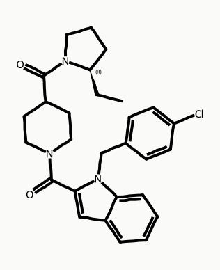 CC[C@@H]1CCCN1C(=O)C1CCN(C(=O)c2cc3ccccc3n2Cc2ccc(Cl)cc2)CC1